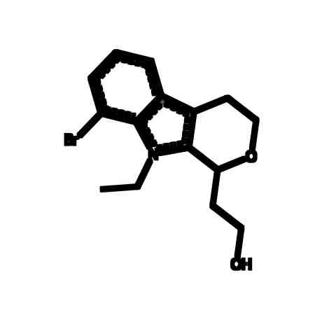 CCn1c2c(c3cccc(Br)c31)CCOC2CCO